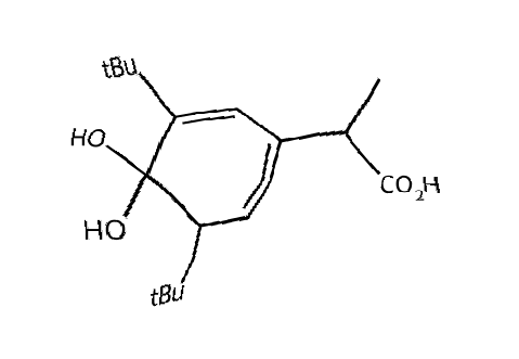 CC(C(=O)O)C1=CC(C(C)(C)C)C(O)(O)C(C(C)(C)C)=C1